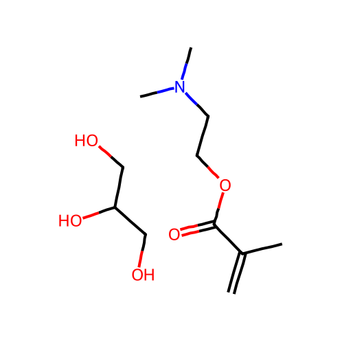 C=C(C)C(=O)OCCN(C)C.OCC(O)CO